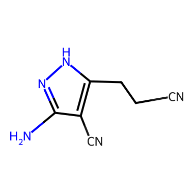 N#CCCc1[nH]nc(N)c1C#N